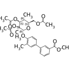 COC(=O)c1cccc(-c2ccc(O[C@H]3O[C@H](COC(C)=O)[C@@H](C)[C@H](OC(C)=O)[C@]3(C)OC(C)=O)c(C)c2)c1